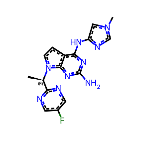 C[C@H](c1ncc(F)cn1)n1ccc2c(Nc3cn(C)cn3)nc(N)nc21